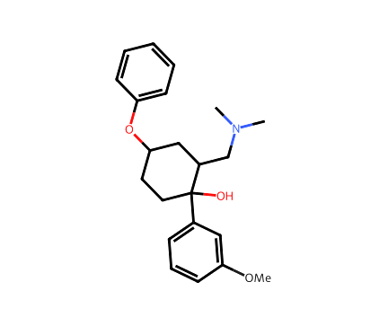 COc1cccc(C2(O)CCC(Oc3ccccc3)CC2CN(C)C)c1